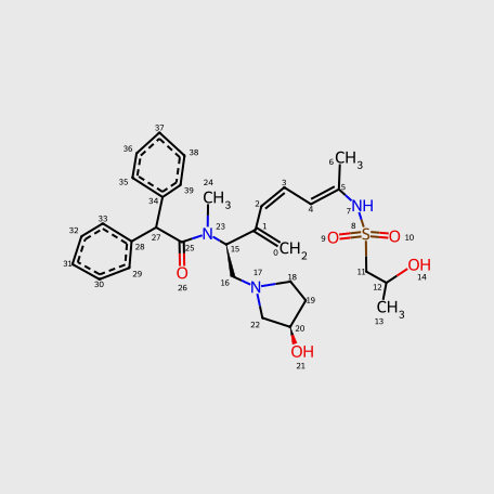 C=C(/C=C\C=C(/C)NS(=O)(=O)CC(C)O)[C@@H](CN1CC[C@@H](O)C1)N(C)C(=O)C(c1ccccc1)c1ccccc1